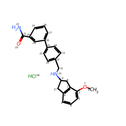 COc1cccc2c1CC(NCc1ccc(-c3cccc(C(N)=O)c3)cc1)C2.Cl